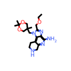 CCOCc1nc2c(N)nc3c(c2n1CC1(C)COC(C)(C)OC1)CCNC3